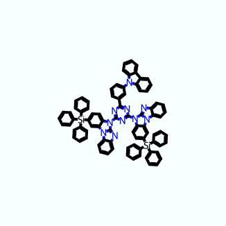 c1ccc([Si](c2ccccc2)(c2ccccc2)c2ccc3c(c2)n2c4ccccc4nc2n3-c2nc(-c3cccc(-n4c5ccccc5c5ccccc54)c3)nc(-n3c4ccc([Si](c5ccccc5)(c5ccccc5)c5ccccc5)cc4n4c5ccccc5nc34)n2)cc1